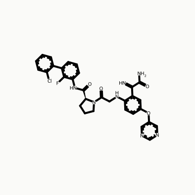 N=C(C(N)=O)c1cc(Oc2cncnc2)ccc1NCC(=O)N1CCC[C@H]1C(=O)Nc1cccc(-c2ccccc2Cl)c1F